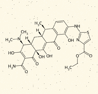 CCOC(=O)c1csc(Nc2ccc3c(c2O)C(=O)C2=C(O)[C@]4(O)C(=O)C(C(N)=O)=C(O)[C@@H](N(C)C)[C@@H]4C[C@@H]2[C@H]3C)n1